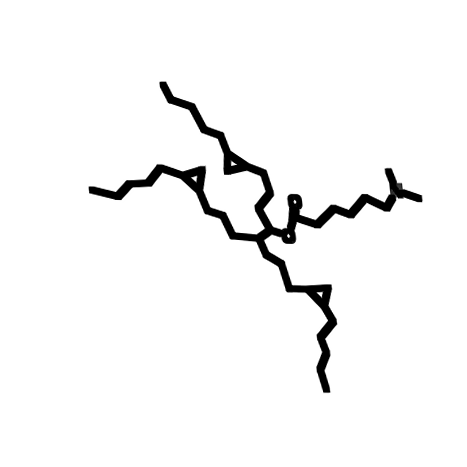 CCCCCC1CC1CCCC(CCCC1CC1CCCCC)C(CCCC1CC1CCCCC)OC(=O)CCCCCN(C)C